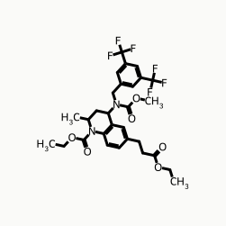 CCOC(=O)CCc1ccc2c(c1)C(N(Cc1cc(C(F)(F)F)cc(C(F)(F)F)c1)C(=O)OC)CC(C)N2C(=O)OCC